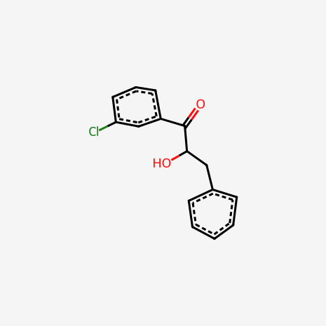 O=C(c1cccc(Cl)c1)C(O)Cc1ccccc1